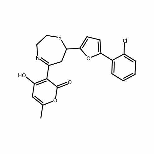 Cc1cc(O)c(C2=NCCSC(c3ccc(-c4ccccc4Cl)o3)C2)c(=O)o1